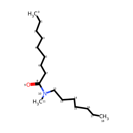 CCCCCCCCC(=O)N(C)CCCCCCC